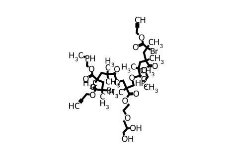 C#CCOC(=O)C(C)(Br)CC(C)(CC(C)(C)C(=O)OCC(C)(COC(=O)C(C)(C)CC(C)(CC(C)(Br)C(=O)OCC#C)C(=O)OCPC)C(=O)OCCOCC(O)CO)C(=O)OCPC